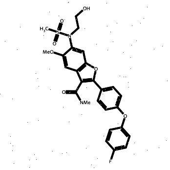 CNC(=O)c1c(-c2ccc(Oc3ccc(F)cc3)cc2)oc2cc(N(CCO)S(C)(=O)=O)c(OC)cc12